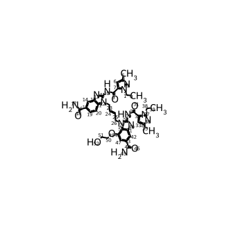 CCn1nc(C)cc1C(=O)Nc1nc2cc(C(N)=O)ccc2n1C/C=C/Cn1c(NC(=O)c2cc(C)nn2CC)nc2cc(C(N)=O)cc(OCCO)c21